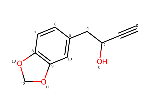 C#CC(O)Cc1ccc2c(c1)OCO2